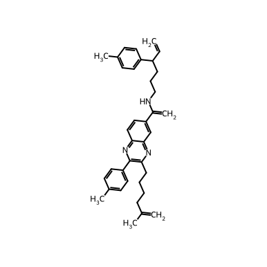 C=CC(CCCNC(=C)c1ccc2nc(-c3ccc(C)cc3)c(CCCCC(=C)C)nc2c1)c1ccc(C)cc1